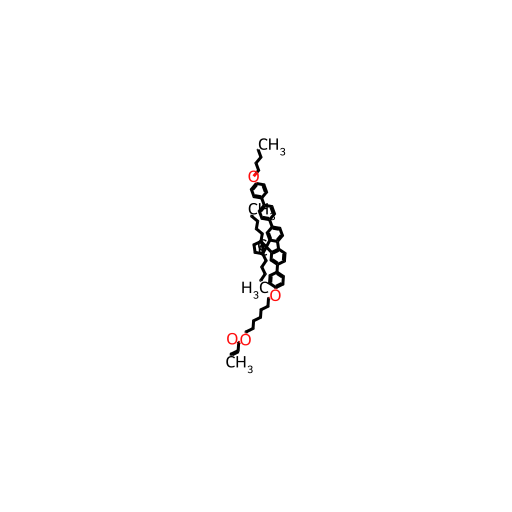 C/C=C/C(=O)OCCCCCCCOc1ccc(-c2ccc3c(c2)C2(c4cc(-c5ccc(-c6ccc(OCCCCC)cc6)cc5)ccc4-3)C3(CCCCC)CCC2(CCCCC)CC3)cc1